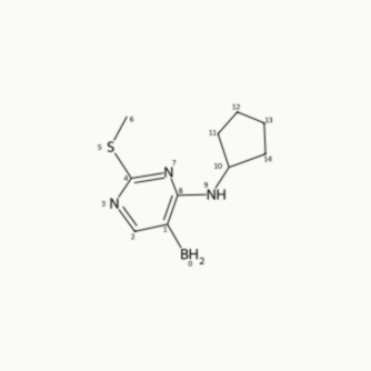 Bc1cnc(SC)nc1NC1CCCC1